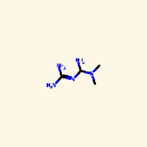 CN(C)C(N)N=C(N)N